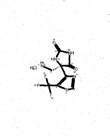 Cl.NC[C@]1(c2ncsc2C(F)(F)F)NC(=O)NC1=O